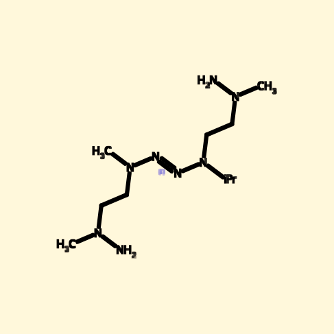 CC(C)N(CCN(C)N)/N=N/N(C)CCN(C)N